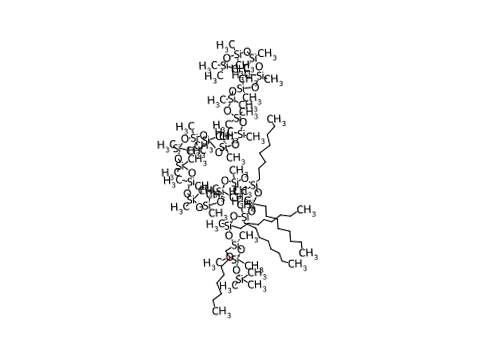 CCCCCCCC[Si](C)(O[Si](C)(C)O[Si](C)(C)O[Si](C)(C)O[Si](C)(C)O[Si](C)(C)O[Si](C)(C)O[Si](C)(C)O[Si](C)(C)O[Si](C)(C)O[Si](C)(C)O[Si](C)(C)O[Si](C)(C)O[Si](C)(C)O[Si](C)(C)O[Si](C)(C)O[Si](C)(C)O[Si](C)(C)O[Si](C)(C)C)O[Si](C)(CCCCCCCC)O[Si](C)(CCCCCCCC)O[Si](C)(CCCCCCCC)O[Si](C)(CCCCCCCC)O[Si](C)(OC)O[Si](C)(C)C